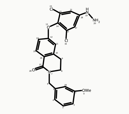 COc1cccc(CN2CCc3cc(Oc4c(Cl)cc(NN)cc4Cl)ccc3C2=O)c1